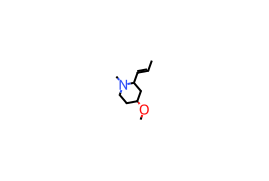 C/C=C/C1C[C@@H](OC)CCN1C